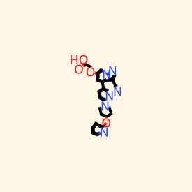 N#Cc1cnn2cc(OCC(=O)O)cc(-c3ccc(N4CCC(Oc5ccccn5)CC4)nc3)c12